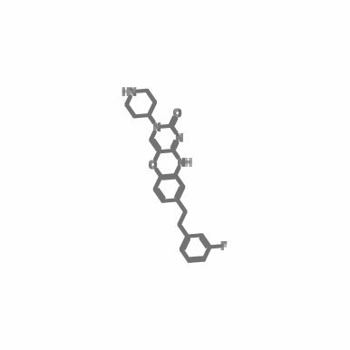 O=c1nc2c(cn1C1CCNCC1)Oc1ccc(CCc3cccc(F)c3)cc1N2